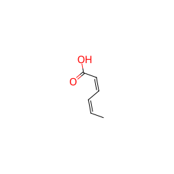 C/C=C\C=C/C(=O)O